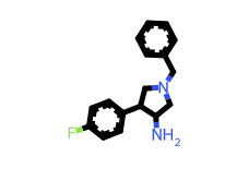 NC1CN(Cc2ccccc2)CC1c1ccc(F)cc1